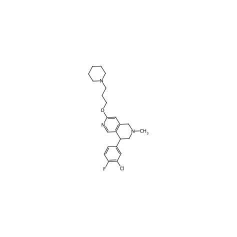 CN1Cc2cc(OCCCN3CCCCC3)ncc2C(c2ccc(F)c(Cl)c2)C1